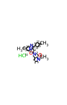 COCCN(Cc1cccnc1)C(=O)Cc1c(-c2ccc(C)cc2)nc2cc(C)ccn12.Cl